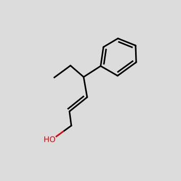 CCC(/C=C/CO)c1ccccc1